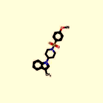 Cc1cn(C2CCN(S(=O)(=O)c3ccc(OC(C)C)cc3)CC2)c2ccccc12